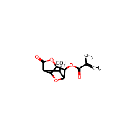 C=C(C)C(=O)OC1C2OC(=O)C3C2OC1C3C(=O)O